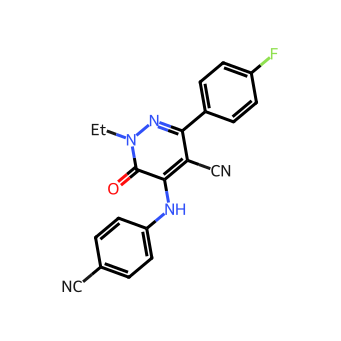 CCn1nc(-c2ccc(F)cc2)c(C#N)c(Nc2ccc(C#N)cc2)c1=O